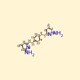 Cc1cc(N)nc(CCc2ccc(CCc3cc(C)cc(N)n3)cc2)c1